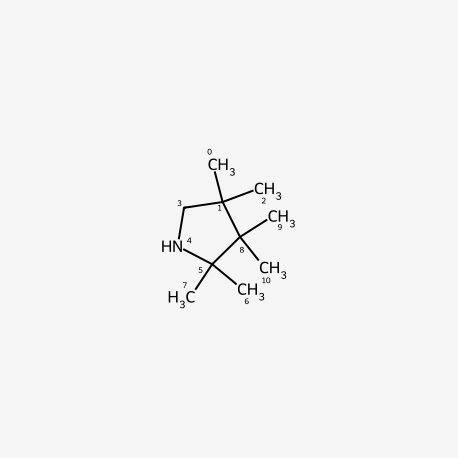 CC1(C)CNC(C)(C)C1(C)C